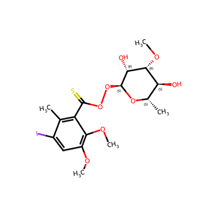 COc1cc(I)c(C)c(C(=S)OO[C@@H]2O[C@@H](C)[C@H](O)[C@@H](OC)[C@H]2O)c1OC